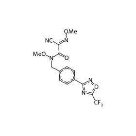 CO/N=C(\C#N)C(=O)N(Cc1ccc(-c2noc(C(F)(F)F)n2)cc1)OC